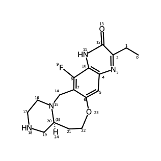 CCc1nc2cc3c(c(F)c2[nH]c1=O)CN1CCNC[C@@H]1CCO3